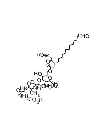 CCCCCCCCCCCC(=O)[C@H](CCCCCCCCCCCCC=O)CC(=O)OC[C@H]1O[C@@H](S)[C@H](NC(C)=O)[C@H](OC(C)C(=O)N[C@@H](C)C(=O)N[C@H](CCC(=O)O)C(N)=O)[C@@H]1O